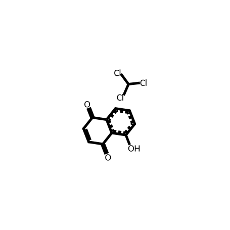 ClC(Cl)Cl.O=C1C=CC(=O)c2c(O)cccc21